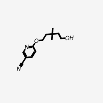 CC(C)(CCO)CCOc1ccc(C#N)cn1